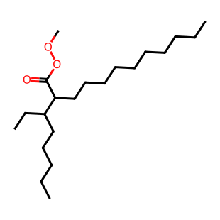 CCCCCCCCCCC(C(=O)OOC)C(CC)CCCCC